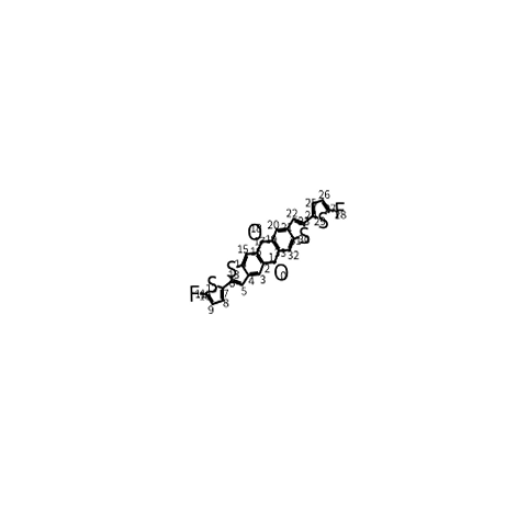 O=C1c2cc3cc(-c4ccc(F)s4)sc3cc2C(=O)c2cc3cc(-c4ccc(F)s4)sc3cc21